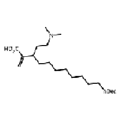 C=C(C(=O)O)C(CCCCCCCCCCCCCCCCCC)CCN(C)C